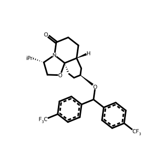 CC(C)[C@H]1CO[C@]23CC[C@H](OC(c4ccc(C(F)(F)F)cc4)c4ccc(C(F)(F)F)cc4)C[C@H]2CCC(=O)N13